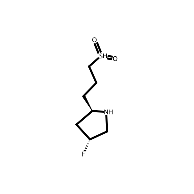 O=[SH](=O)CCC[C@@H]1C[C@@H](F)CN1